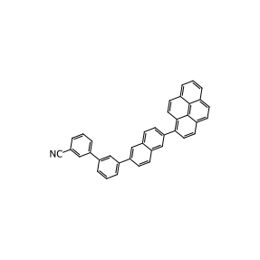 N#Cc1cccc(-c2cccc(-c3ccc4cc(-c5ccc6ccc7cccc8ccc5c6c78)ccc4c3)c2)c1